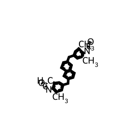 Cc1cc(Cc2ccc3cc(Cc4cc(C)c(N=C=O)c(C)c4)ccc3c2)cc(C)c1N=C=O